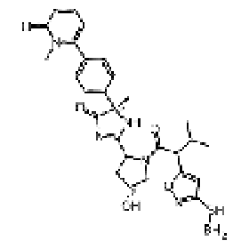 BBc1cc(C(C(=O)N2C[C@H](O)CC2C2=NC(=O)[C@](C)(c3ccc(-c4cccc(=O)n4C)cc3)N2)C(C)C)on1